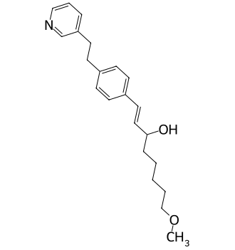 COCCCCCC(O)/C=C/c1ccc(CCc2cccnc2)cc1